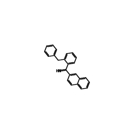 N=C(c1ccc2ccccc2c1)c1ccccc1Cc1ccccc1